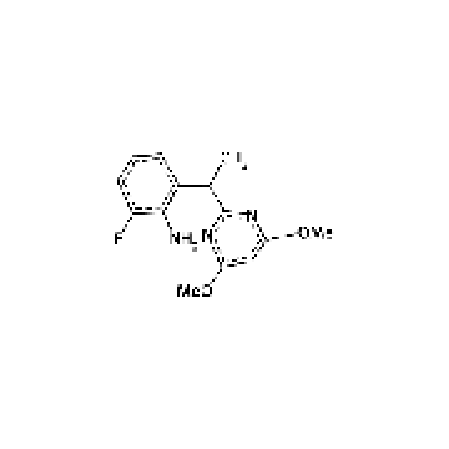 COc1cc(OC)nc(C(C)c2cccc(F)c2N)n1